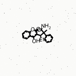 CCC(c1c(O)c2ccccc2oc1=O)C(C)(C(N)=O)c1ccccc1